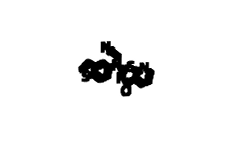 N#CCN(c1ccc2sccc2c1)c1nc(=O)c2cccnc2s1